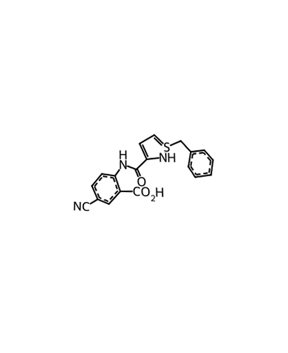 N#Cc1ccc(NC(=O)C2=CC=S(Cc3ccccc3)N2)c(C(=O)O)c1